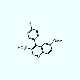 COc1ccc2c(c1)C(c1ccc(F)cc1)=C(C(=O)O)CO2